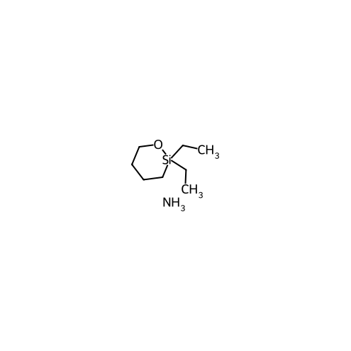 CC[Si]1(CC)CCCCO1.N